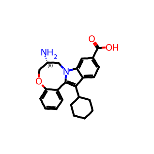 N[C@H]1COc2ccccc2-c2c(C3CCCCC3)c3ccc(C(=O)O)cc3n2C1